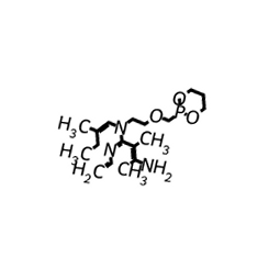 C=C/N=C(\C(C)=C(/C)N)N(/C=C(/C)CC)CCOCP1OCCCO1